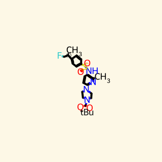 Cc1nc(N2CCN(C(=O)OC(C)(C)C)CC2)ccc1NS(=O)(=O)c1ccc([C@H](C)CF)cc1